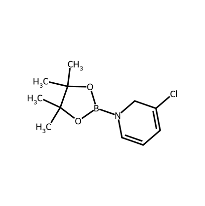 CC1(C)OB(N2C=CC=C(Cl)C2)OC1(C)C